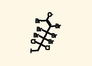 [O]C(Br)=C(Br)C(Br)(Br)C(Br)(Br)C(Cl)(Cl)CI